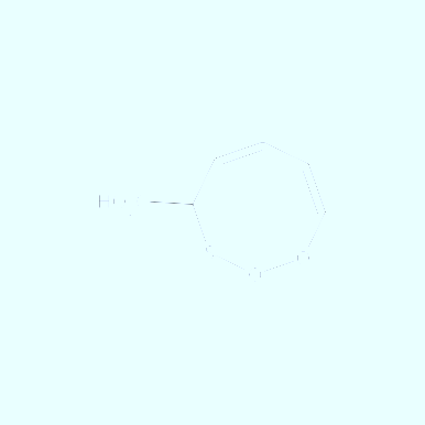 O=C(O)C1C=CC=COOS1